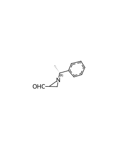 C[C@H](c1ccccc1)N1CC1C=O